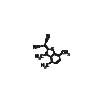 Cc1ccc(C)c2c1SC(=C(C#N)C#N)N2C